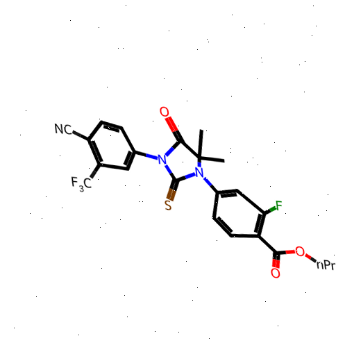 CCCOC(=O)c1ccc(N2C(=S)N(c3ccc(C#N)c(C(F)(F)F)c3)C(=O)C2(C)C)cc1F